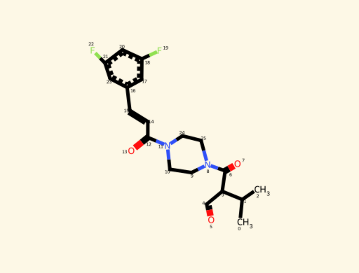 CC(C)C(C=O)C(=O)N1CCN(C(=O)/C=C/c2cc(F)cc(F)c2)CC1